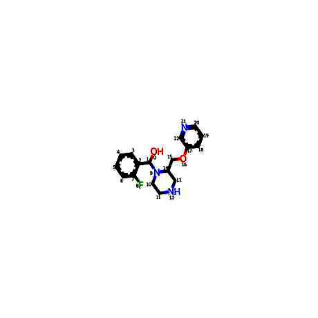 OC(c1ccccc1F)N1CCNCC1COc1cccnc1